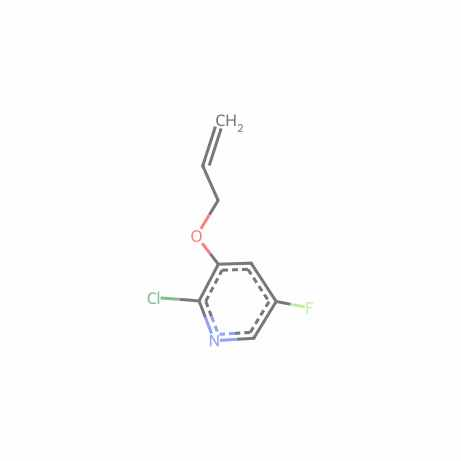 C=CCOc1cc(F)cnc1Cl